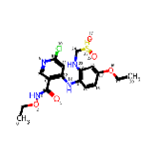 CCONC(=O)c1cnc(Cl)cc1Nc1ccc(OCC)cc1NC[SH](=O)=O